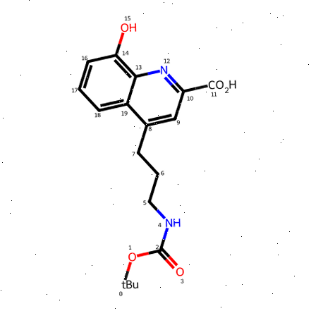 CC(C)(C)OC(=O)NCCCc1cc(C(=O)O)nc2c(O)cccc12